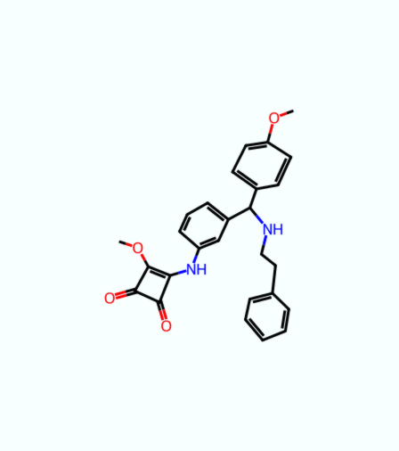 COc1ccc(C(NCCc2ccccc2)c2cccc(Nc3c(OC)c(=O)c3=O)c2)cc1